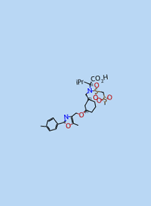 Cc1ccc(-c2nc(CO[C@@H]3CCC[C@H](CN([C@H](C(=O)O)C(C)C)S(=O)(=O)CS(C)(=O)=O)C3)c(C)o2)cc1